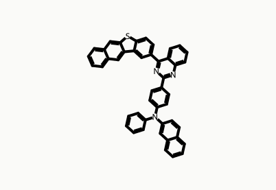 c1ccc(N(c2ccc(-c3nc(-c4ccc5sc6cc7ccccc7cc6c5c4)c4ccccc4n3)cc2)c2ccc3ccccc3c2)cc1